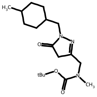 CC1CCC(CN2N=C(CN(C)C(=O)OC(C)(C)C)CC2=O)CC1